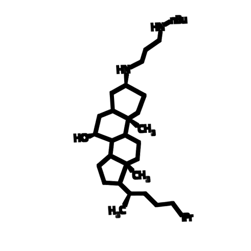 CCCCNCCCN[C@H]1CC[C@@]2(C)C(C1)C[C@H](O)C1C2CC[C@@]2(C)C1CCC2[C@H](C)CCCC(C)C